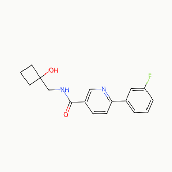 O=C(NCC1(O)CCC1)c1ccc(-c2cccc(F)c2)nc1